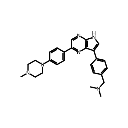 CN(C)Cc1ccc(-c2c[nH]c3ncc(-c4ccc(N5CCN(C)CC5)cc4)nc23)cc1